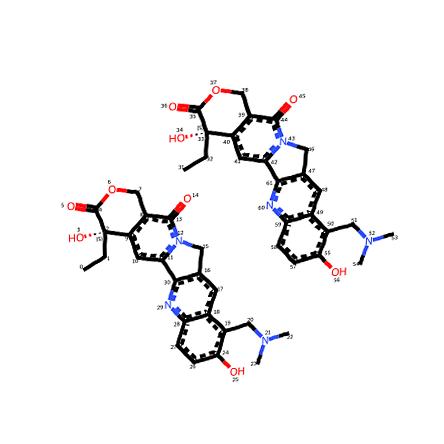 CC[C@@]1(O)C(=O)OCc2c1cc1n(c2=O)Cc2cc3c(CN(C)C)c(O)ccc3nc2-1.CC[C@@]1(O)C(=O)OCc2c1cc1n(c2=O)Cc2cc3c(CN(C)C)c(O)ccc3nc2-1